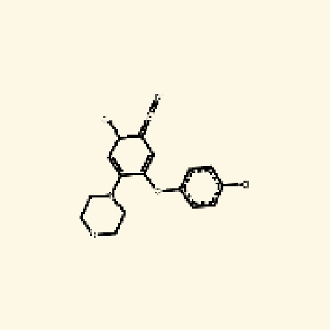 [N-]=[N+]=C1C=C(Oc2ccc(Cl)cc2)C(N2CCOCC2)=CC1Cl